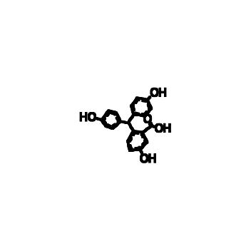 O=C(O)c1cc(O)ccc1C(c1ccc(O)cc1)c1ccc(O)cc1